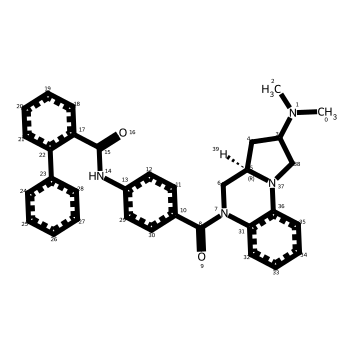 CN(C)C1C[C@@H]2CN(C(=O)c3ccc(NC(=O)c4ccccc4-c4ccccc4)cc3)c3ccccc3N2C1